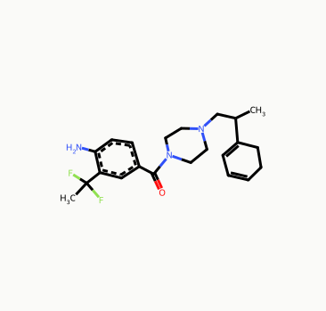 CC(CN1CCN(C(=O)c2ccc(N)c(C(C)(F)F)c2)CC1)C1=CC=CCC1